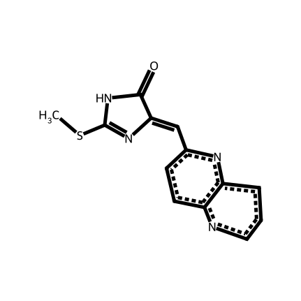 CSC1=N/C(=C\c2ccc3ncccc3n2)C(=O)N1